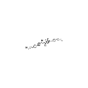 CCCC1CCC(c2ccc(CCCC(=O)c3ccc(OCC4CCC(CC)CC4)c(F)c3C)cc2)CC1